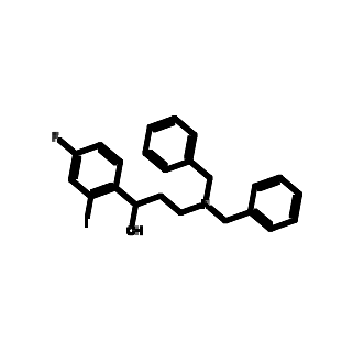 OC(CCN(Cc1ccccc1)Cc1ccccc1)c1ccc(F)cc1I